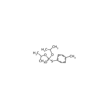 Cc1ccc(SP(=O)(OC(C)C)OC(C)C)cc1